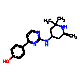 C=C1CC(Nc2nccc(-c3ccc(O)cc3)n2)CC(C)(C)N1